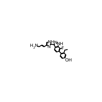 CCc1cc(O)ccc1-c1ccc2c(-c3nc(/C=C/CN)c[nH]3)n[nH]c2c1F